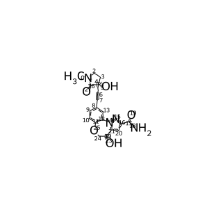 CN1CC[C@@](O)(C#Cc2ccc3c(c2)-n2nc(C(N)=O)cc2[C@@H](O)CO3)C1=O